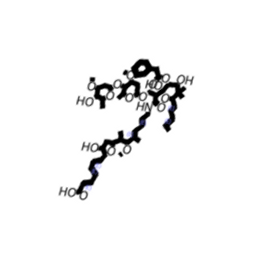 C/C=C/C=C/C1OC(O)(C(COC2CC(OC)C(OC3CC(OC)C(O)C(C)O3)C(C)O2)C(=O)NC/C=C/C=C(\C)C(OC)C(C)C2CC(O)C(/C=C/C=C/C=C/C(=O)O)O2)C(OC(=O)Cc2ccccc2)C(O)C1(C)C